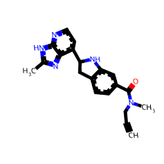 C#CCN(C)C(=O)c1ccc2c(c1)NC(c1ccnc3[nH]c(C)nc13)C2